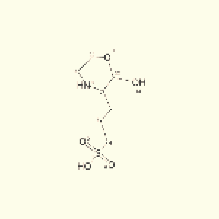 O=S(=O)(O)CCCC1NCCOC1O